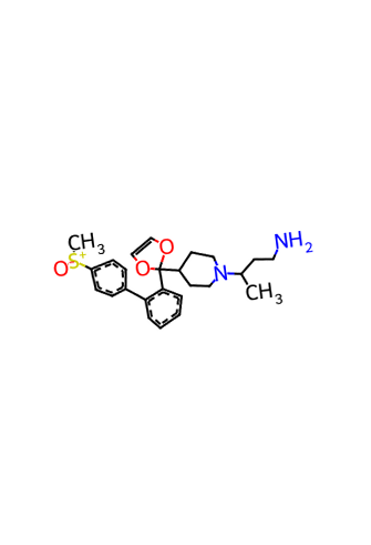 CC(CCN)N1CCC(C2(c3ccccc3-c3ccc([S+](C)[O-])cc3)OC=CO2)CC1